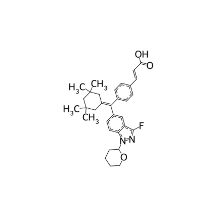 CC1(C)CC(=C(c2ccc(/C=C/C(=O)O)cc2)c2ccc3c(c2)c(F)nn3C2CCCCO2)CC(C)(C)C1